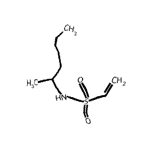 C=CS(=O)(=O)NC(C)CCC